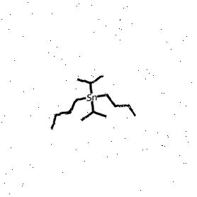 CCC[CH2][Sn]([CH2]CCC)([CH](C)C)[CH](C)C